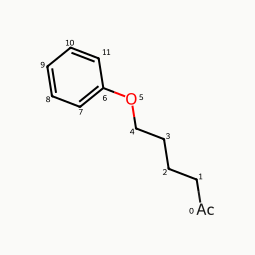 CC(=O)CCCCOc1ccccc1